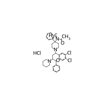 CC(=O)N(C)C1(c2ccccc2)CCN(C(CC(C(=O)c2ccccc2)N2CCCCC2)c2ccc(Cl)c(Cl)c2)CC1.Cl